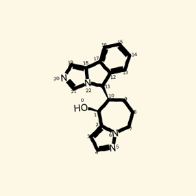 O[C@@H]1c2ccnn2CCC[C@@H]1C1c2ccccc2-c2cncn21